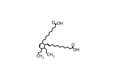 CCCC1C=CC(CCCCCCCCC(=O)O)C(C=CCCCCCCCCC(=O)O)C1CCC